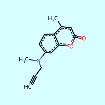 C#CCN(C)c1ccc2c(C)cc(=O)oc2c1